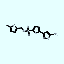 Cc1ccc(CNS(=O)(=O)c2ccc(-c3cc(C(F)(F)F)on3)s2)o1